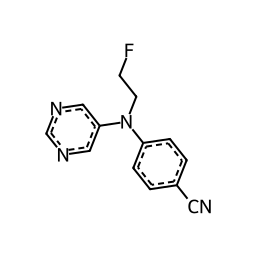 N#Cc1ccc(N(CCF)c2cncnc2)cc1